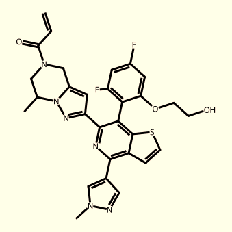 C=CC(=O)N1Cc2cc(-c3nc(-c4cnn(C)c4)c4ccsc4c3-c3c(F)cc(F)cc3OCCO)nn2C(C)C1